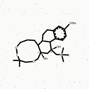 CCC[C@@]12COCC(C)(C)COCCCC1C1CCc3cc(OC)ccc3C1[C@](O)(C[Si](C)(C)C)C2